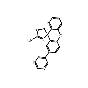 NC1=N[C@@]2(CO1)c1cc(-c3cncnc3)ccc1Oc1cccnc12